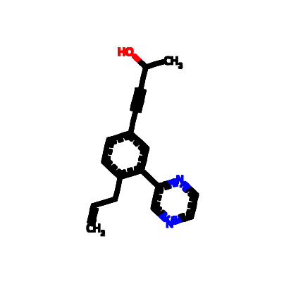 C=CCc1ccc(C#CC(C)O)cc1-c1cnccn1